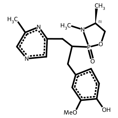 COc1cc(CC(Cc2cncc(C)n2)P2(=O)OC[C@H](C)N2C)ccc1O